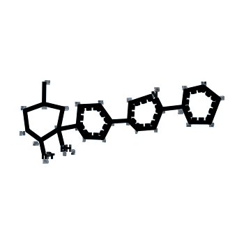 BC1(c2ccc(-c3ccc(-c4ccccc4)nc3)cc2)CC(C)CCC1CCC